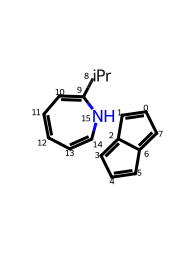 C1=CC2=CC=CC2=C1.CC(C)C1=CC=CC=CN1